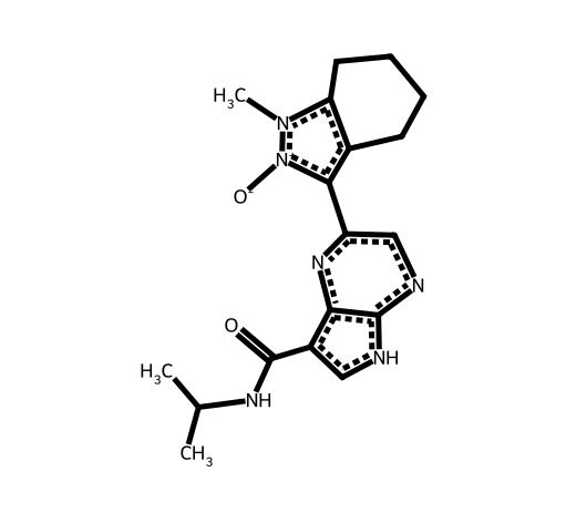 CC(C)NC(=O)c1c[nH]c2ncc(-c3c4c(n(C)[n+]3[O-])CCCC4)nc12